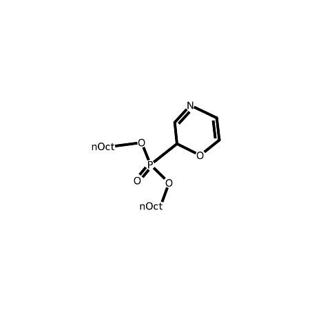 CCCCCCCCOP(=O)(OCCCCCCCC)C1C=NC=CO1